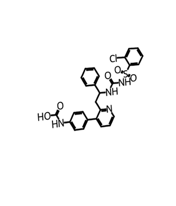 O=C(O)Nc1ccc(-c2cccnc2CC(NC(=O)NS(=O)(=O)c2ccccc2Cl)c2ccccc2)cc1